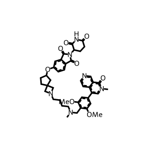 COc1cc(-c2cn(C)c(=O)c3cnccc23)cc(OC)c1CN(C)CCCCN1CC2(CCC(Oc3ccc4c(c3)C(=O)N(C3CCC(=O)NC3=O)C4=O)C2)C1